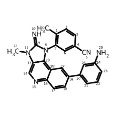 Cc1ccc(C#N)cc1-n1c(=N)n(C)c2cnc3ccc(-c4cccc(N)c4)cc3c21